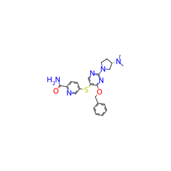 CN(C)[C@H]1CCN(c2ncc(Sc3ccc(C(N)=O)nc3)c(OCc3ccccc3)n2)C1